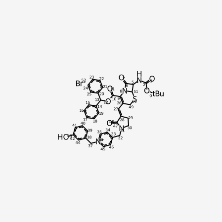 CC(C)(C)OC(=O)NC1C(=O)N2C(C(=O)OC(c3ccccc3)c3ccccc3)=C(C=C3CCN(Cc4cc[n+](Cc5cccc(O)c5)cc4)C3=O)CSC12.[Br-]